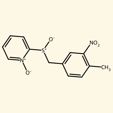 Cc1ccc(C[S+]([O-])c2cccc[n+]2[O-])cc1[N+](=O)[O-]